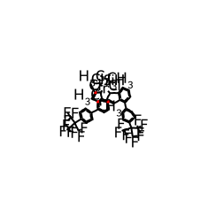 CCC1=Cc2c(-c3ccc(C(C(F)(F)F)(C(F)(F)F)C(F)(F)F)cc3)cccc2[CH]1[Zr]([Cl])([Cl])([CH]1C(C(C)C)=Cc2c(-c3ccc(C(C(F)(F)F)(C(F)(F)F)C(F)(F)F)cc3)cccc21)[SiH](C)C